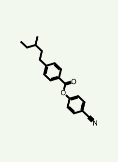 CCC(C)CCc1ccc(C(=O)Oc2ccc(C#N)cc2)cc1